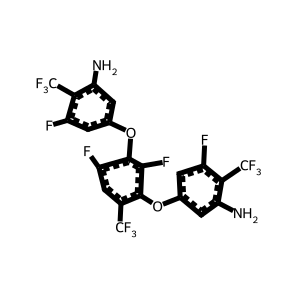 Nc1cc(Oc2c(F)cc(C(F)(F)F)c(Oc3cc(N)c(C(F)(F)F)c(F)c3)c2F)cc(F)c1C(F)(F)F